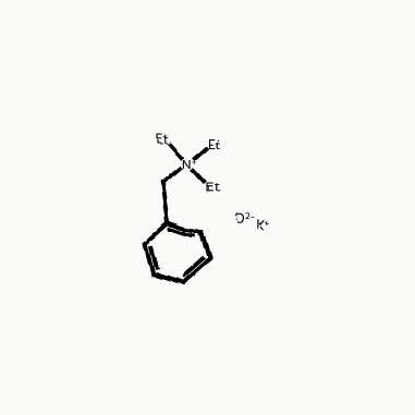 CC[N+](CC)(CC)Cc1ccccc1.[K+].[O-2]